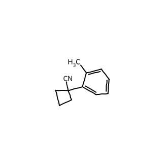 Cc1ccccc1C1(C#N)CCC1